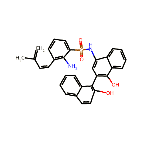 C=C(C)/C=C\c1cccc(S(=O)(=O)Nc2cc(-c3c(O)ccc4ccccc34)c(O)c3ccccc23)c1N